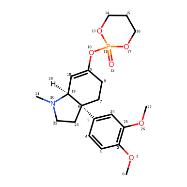 COc1ccc([C@@]23CCC(OP4(=O)OCCCO4)=C[C@@H]2N(C)CC3)cc1OC